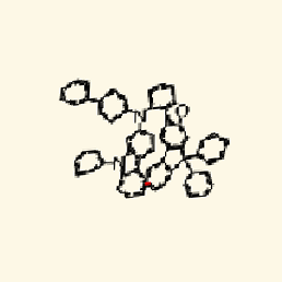 c1ccc(-c2ccc(N(c3ccc4c5ccccc5n(-c5ccccc5)c4c3)c3cccc4oc5cc6c(cc5c34)-c3ccccc3C6(c3ccccc3)c3ccccc3)cc2)cc1